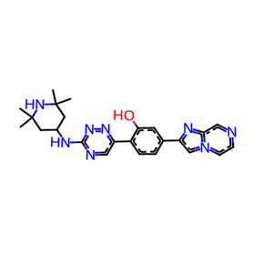 CC1(C)CC(Nc2ncc(-c3ccc(-c4cn5ccncc5n4)cc3O)nn2)CC(C)(C)N1